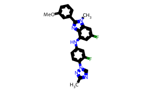 COc1cccc(-c2nc3c(Nc4ccc(-n5cnc(C)n5)c(F)c4)cc(F)cc3n2C)c1